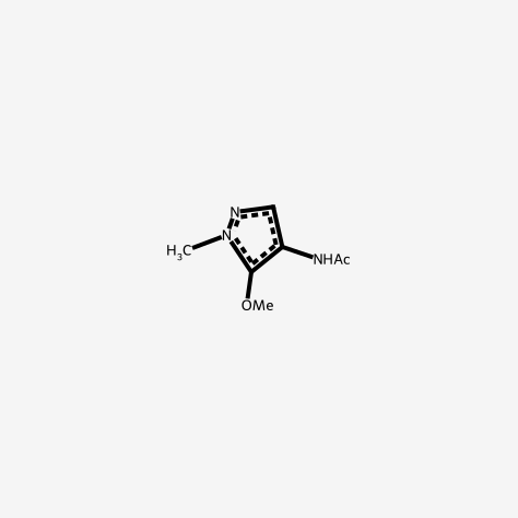 COc1c(NC(C)=O)cnn1C